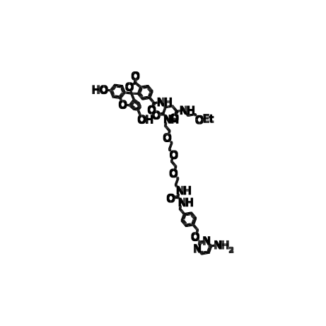 CCOCCNC(=O)CC(NC(=O)c1ccc2c(c1)C1(OC2=O)c2ccc(O)cc2Oc2cc(O)ccc21)C(=O)NCCOCCOCCOCCNC(=O)NCc1ccc(COc2nccc(N)n2)cc1